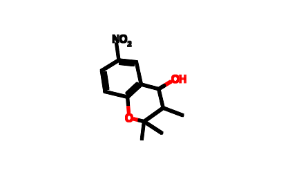 CC1C(O)c2cc([N+](=O)[O-])ccc2OC1(C)C